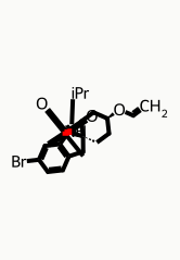 C=CO[C@H]1CC[C@]2(CC1)Cc1ccc(Br)cc1C21NC(=O)N(C(C)C)C1=O